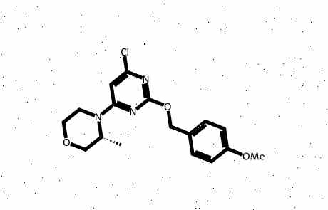 COc1ccc(COc2nc(Cl)cc(N3CCOC[C@H]3C)n2)cc1